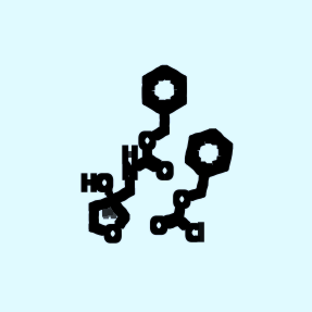 O=C(Cl)OCc1ccccc1.O=C(NC[C@]1(O)CCOC1)OCc1ccccc1